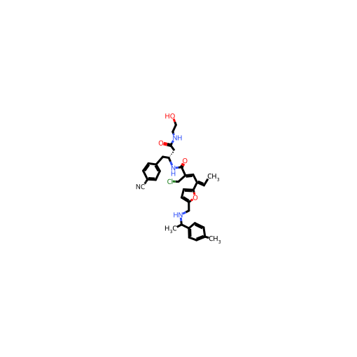 C/C=C(\C=C(/CCl)C(=O)N[C@@H](CC(=O)NCCO)Cc1ccc(C#N)cc1)c1ccc(CNC(C)c2ccc(C)cc2)o1